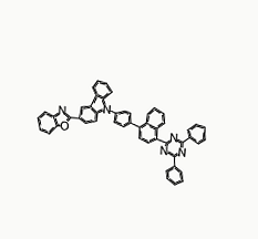 c1ccc(-c2nc(-c3ccccc3)nc(-c3ccc(-c4ccc(-n5c6ccccc6c6cc(-c7nc8ccccc8o7)ccc65)cc4)c4ccccc34)n2)cc1